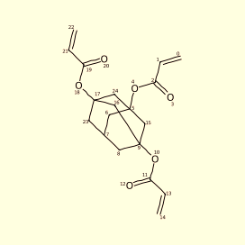 C=CC(=O)OC12CC3CC(OC(=O)C=C)(C1)CC(OC(=O)C=C)(C3)C2